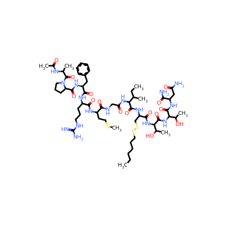 CCCCCCSSCC(NC(=O)C(NC(=O)CNC(=O)C(CCSC)NC(=O)C(CCCNC(=N)N)NC(=O)C(Cc1ccccc1)NC(=O)C1CCCN1C(=O)C(C)NC(C)=O)C(C)CC)C(=O)NC(C(=O)NC(C(=O)NC(CC(N)=O)C(N)=O)C(C)O)C(C)O